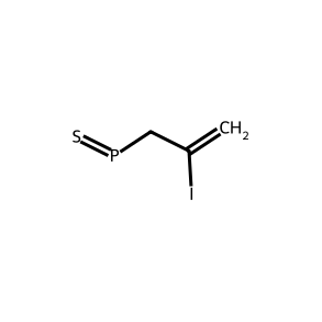 C=C(I)CP=S